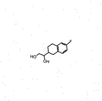 OCC(O)C1CCc2cc(F)ccc2C1